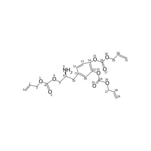 C=CCOC(=O)OC[C@@H](N)Cc1ccc(OC(=O)OCC=C)c(OC(=O)OCC=C)c1